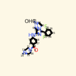 Cc1c(Nc2ccc(C(=O)N3CCN(C)CC3)cc2)nc(-c2c(F)cccc2F)n1/C=C\NC=O